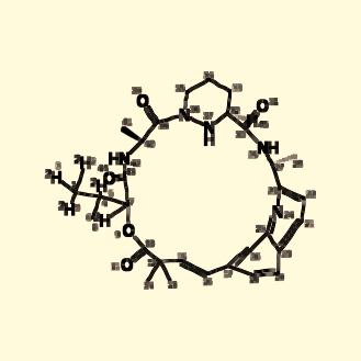 [2H]C([2H])([2H])C([2H])(C)C1([2H])OC(=O)C(C)(C)/C=C/c2ccc3ccc(nc3c2)[C@@H](C)NC(=O)[C@@H]2CCCN(N2)C(=O)[C@H](C)NC1=O